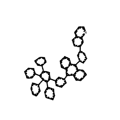 c1ccc(-c2cc(-c3cccc(-c4c5ccccc5c(-c5cccc(-c6ccc7cccnc7c6)c5)c5ccccc45)c3)c(-c3ccccc3)c(-c3ccccc3)c2-c2ccccc2)cc1